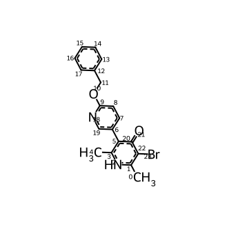 Cc1[nH]c(C)c(-c2ccc(OCc3ccccc3)nc2)c(=O)c1Br